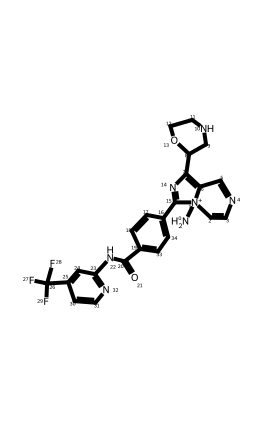 N[N+]12C=CN=CC1=C(C1CNCCO1)N=C2c1ccc(C(=O)Nc2cc(C(F)(F)F)ccn2)cc1